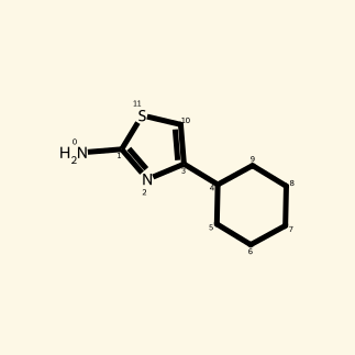 Nc1nc(C2CCCCC2)cs1